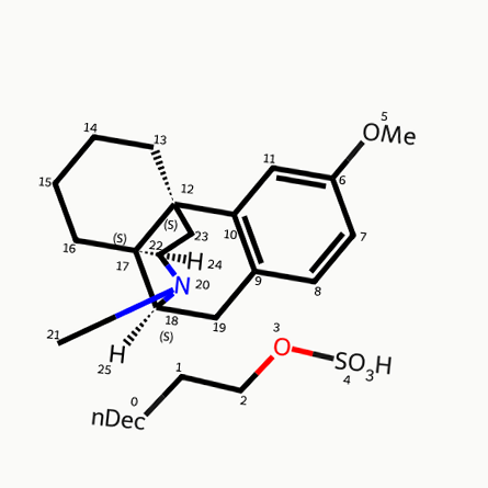 CCCCCCCCCCCCOS(=O)(=O)O.COc1ccc2c(c1)[C@]13CCCC[C@@H]1[C@H](C2)N(C)CC3